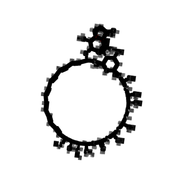 C[C@@H]1[C@H](O)[C@@H](C)/C=C/C=C/C=C/C=C/C=C/C=C/C=C/[C@H](O[C@@H]2O[C@H](C)[C@@H](O)[C@H](N)[C@@H]2O)C[C@@H]2O[C@](O)(C[C@@H](O)C[C@@H](O)[C@H](O)CC[C@@H](O)C[C@@H](O)CC(=O)O[C@H]1C)C[C@H](O)[C@H]2C(=O)NC1CCC[C@H]1O